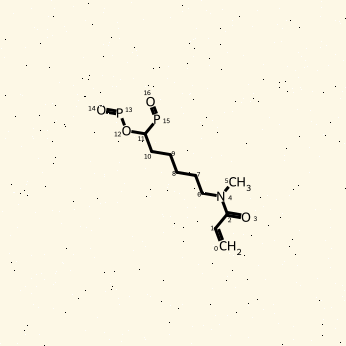 C=CC(=O)N(C)CCCCCC(OP=O)P=O